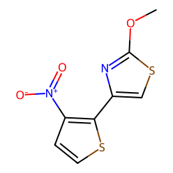 COc1nc(-c2sccc2[N+](=O)[O-])cs1